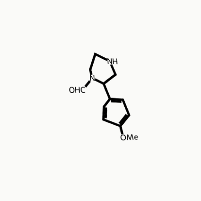 COc1ccc(C2CNCCN2C=O)cc1